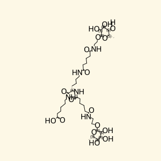 C[C@@H]1O[C@@H](OCCNC(=O)CCCCC(=O)NCCCC[C@H](NC(=O)CCCCC(=O)NCCO[C@@H]2O[C@@H](C)[C@@H](O)[C@@H](O)[C@@H]2O)C(=O)NCCCCCC(=O)O)[C@@H](O)[C@H](O)[C@@H]1O